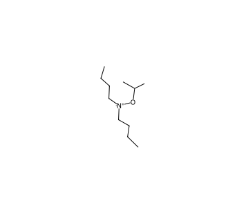 CCCC[N+](CCCC)OC(C)C